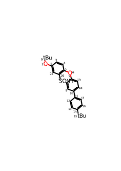 CC(C)(C)Oc1ccc(Oc2ccc(-c3ccc(C(C)(C)C)cc3)cc2)c(S(=O)(=O)O)c1